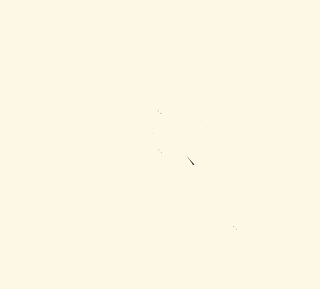 CS(=O)(=O)c1cc(C#N)ccc1[C@H]1NC(=O)N(c2cccc(C(F)F)c2)C2=C1C(=O)CCC2